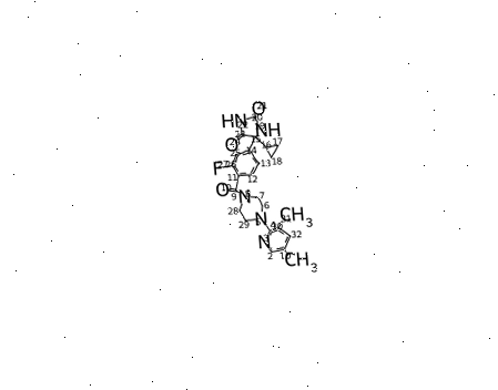 Cc1cnc(N2CCN(C(=O)c3ccc(C4(C5CC5)NC(=O)NC4=O)cc3F)CC2)c(C)c1